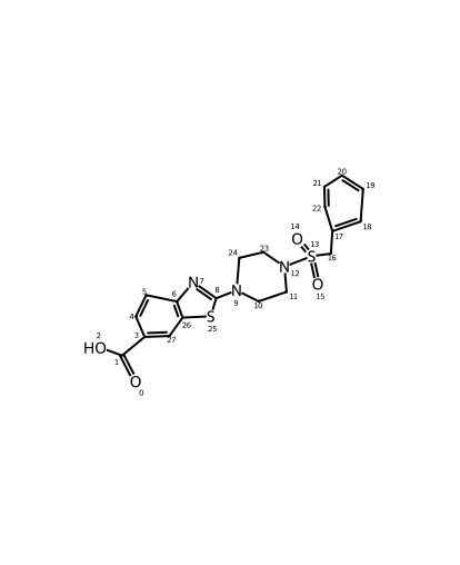 O=C(O)c1ccc2nc(N3CCN(S(=O)(=O)Cc4ccccc4)CC3)sc2c1